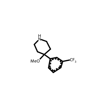 COC1(c2cccc(C(F)(F)F)c2)CCNCC1